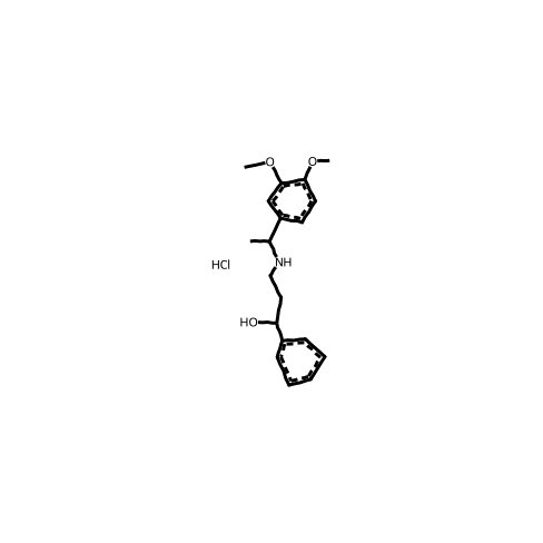 COc1ccc(C(C)NCCC(O)c2ccccc2)cc1OC.Cl